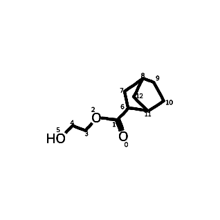 O=C(OCCO)C1CC2CCC1C2